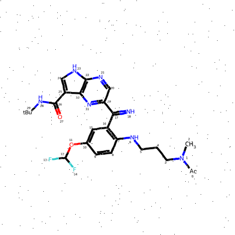 CC(=O)N(C)CCCNc1ccc(OC(F)F)cc1C(=N)c1cnc2[nH]cc(C(=O)NC(C)(C)C)c2n1